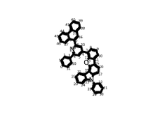 c1ccc(-c2cc(-c3cccc4c3oc3c4ccc4c3c3ccccc3n4-c3ccccc3)cc(-c3cc4ccccc4c4ccccc34)n2)cc1